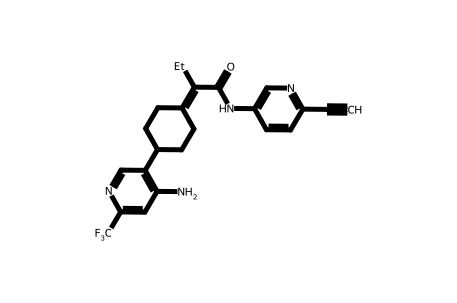 C#Cc1ccc(NC(=O)C(CC)=C2CCC(c3cnc(C(F)(F)F)cc3N)CC2)cn1